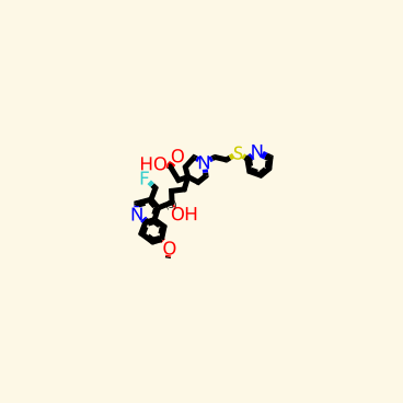 COc1ccc2ncc(CF)c([C@@H](O)CCC3(CC(=O)O)CCN(CCSc4ccccn4)CC3)c2c1